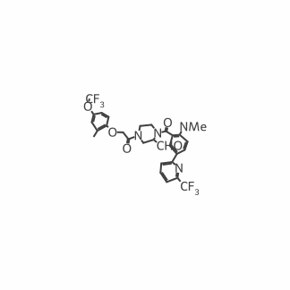 CNc1ccc(-c2cccc(C(F)(F)F)n2)cc1C(=O)N1CCN(C(=O)COc2ccc(OC(F)(F)F)cc2C)CC1C=O